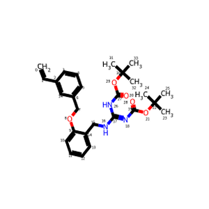 C=Cc1cccc(COc2ccccc2CN/C(=N/C(=O)OC(C)(C)C)NC(=O)OC(C)(C)C)c1